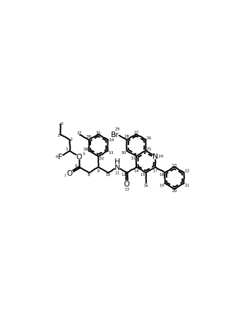 CCCC(F)OC(=O)CC(CNC(=O)c1c(C)c(-c2ccccc2)nc2ccc(Br)cc12)c1cccc(C)c1